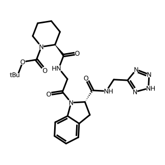 CC(C)(C)OC(=O)N1CCCC[C@H]1C(=O)NCC(=O)N1c2ccccc2C[C@H]1C(=O)NCc1nn[nH]n1